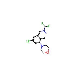 C=c1c(N2CCOCC2)cc(Cl)c/c1=C/N(C)C(F)F